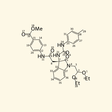 CCOC(CN1C(=O)[C@@](CC(=O)Nc2ccc(C(=O)OC)cc2)(NC(=O)Nc2ccc(C)cc2)c2ccccc21)OCC